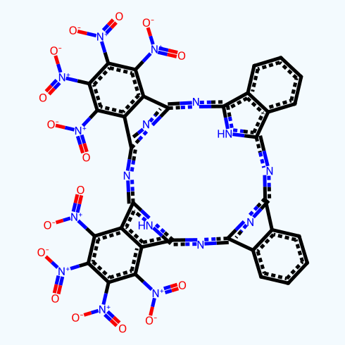 O=[N+]([O-])c1c2c(c([N+](=O)[O-])c([N+](=O)[O-])c1[N+](=O)[O-])-c1nc-2nc2[nH]c(nc3nc(nc4[nH]c(n1)c1c([N+](=O)[O-])c([N+](=O)[O-])c([N+](=O)[O-])c([N+](=O)[O-])c41)-c1ccccc1-3)c1ccccc21